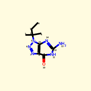 CCC(C)(C)n1nnc2c(=O)[nH]c(N)nc21